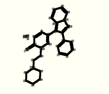 Cl.O=c1ccc(-c2c(-c3ccccc3)nn3ccccc23)nn1CCN1CCCCC1